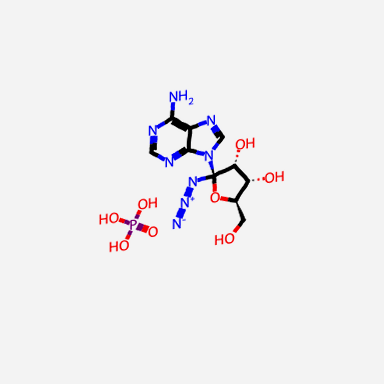 O=P(O)(O)O.[N-]=[N+]=N[C@@]1(n2cnc3c(N)ncnc32)O[C@H](CO)[C@@H](O)[C@H]1O